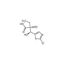 CC[C@@](O)(C(=O)O)[C@H](O)c1cnc(Cl)s1